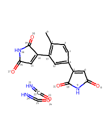 Cc1ccc(C2=CC(=O)NC2=O)cc1C1=CC(=O)NC1=O.N=C=O.N=C=O